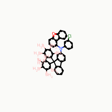 Bc1c(B)c(B)c(C2(c3c(B)c(B)c(B)c(B)c3B)c3ccccc3-c3ccc(N(c4cccc(Cl)c4)c4cccc5oc6ccccc6c45)cc32)c(B)c1B